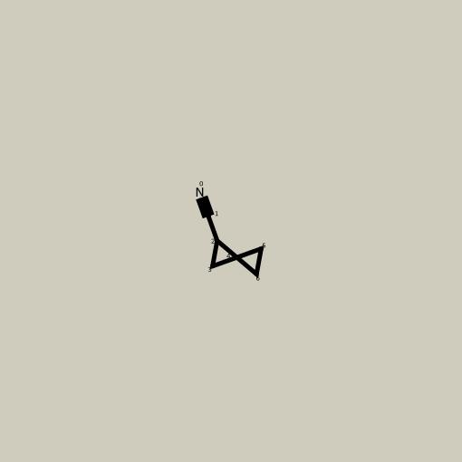 N#CC1CC12CC2